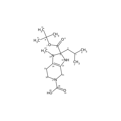 CC(C)CC1(C(=O)OC(C)(C)C)NC2=C(CCN(C(=O)O)C2)N1C